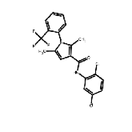 Cc1cc(C(=O)Nc2cc(Cl)ccc2Cl)c(C)n1-c1ccccc1C(F)(F)F